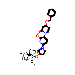 CC(C)(C)[Si](C)(C)O[C@@H]1CCN(c2ccc(-n3ccc(OCc4ccccc4)cc3=O)c(=O)[nH]2)C1